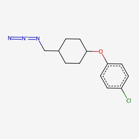 [N-]=[N+]=NCC1CCC(Oc2ccc(Cl)cc2)CC1